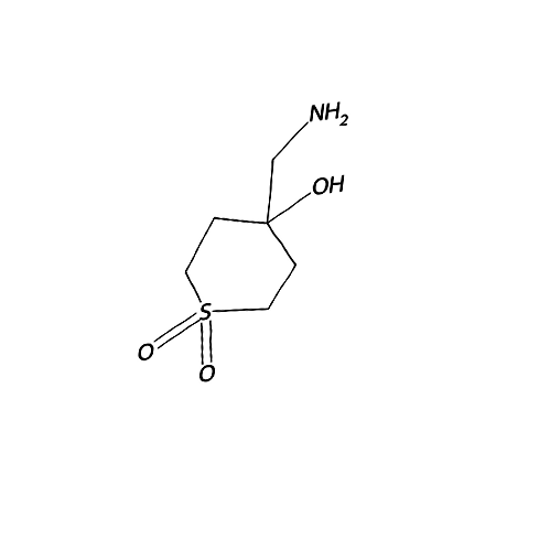 NCC1(O)CCS(=O)(=O)CC1